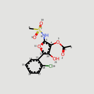 CC(=O)Oc1c(NS(C)(=O)=O)oc(-c2ccccc2Cl)c1O